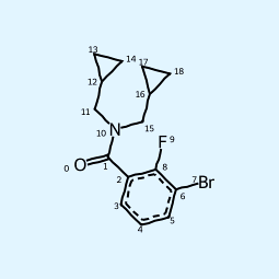 O=C(c1cccc(Br)c1F)N(CC1CC1)CC1CC1